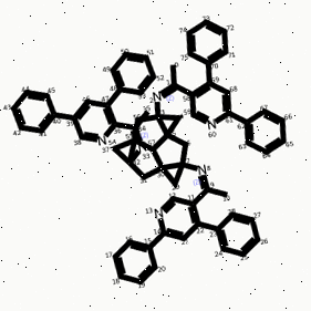 C/C(=N/C12CC13CC1(/N=C(/C)c4cnc(-c5ccccc5)cc4-c4ccccc4)CC14CC1(/N=C(/C)c5ncc(-c6ccccc6)cc5-c5ccccc5)CC1(C2)C34)c1cnc(-c2ccccc2)cc1-c1ccccc1